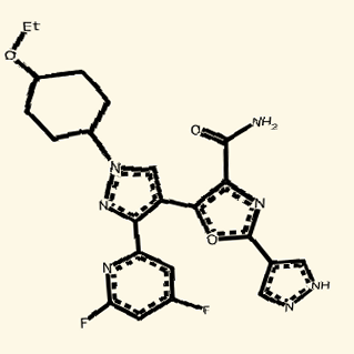 CCOC1CCC(n2cc(-c3oc(-c4cn[nH]c4)nc3C(N)=O)c(-c3cc(F)cc(F)n3)n2)CC1